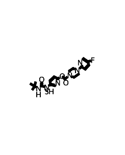 CC(C)(C)NC(=O)N(S)c1ccc(OC(=O)N2CCN(c3ccc(F)cn3)CC2)nc1